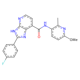 COc1ccc(NC(=O)c2ccnc3[nH]c(-c4ccc(F)cc4)nc23)c(C)n1